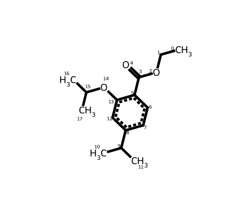 CCOC(=O)c1ccc(C(C)C)cc1OC(C)C